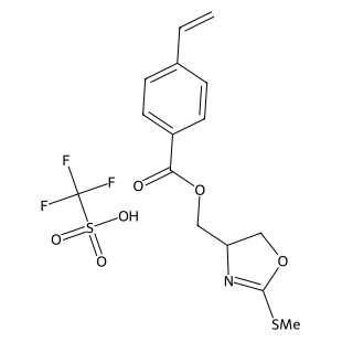 C=Cc1ccc(C(=O)OCC2COC(SC)=N2)cc1.O=S(=O)(O)C(F)(F)F